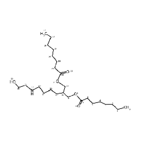 CCCCCCCC(=O)OCC(CCCCNCCO)COC(=O)CCCCCCC